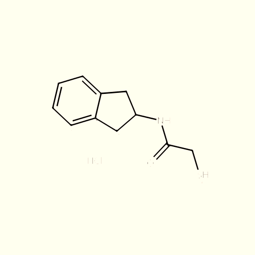 Cl.O=C(CS)NC1Cc2ccccc2C1